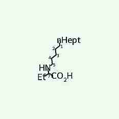 CCCCCCCCCCCCNC(CC)C(=O)O